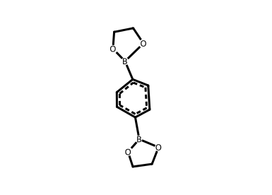 c1cc(B2OCCO2)ccc1B1OCCO1